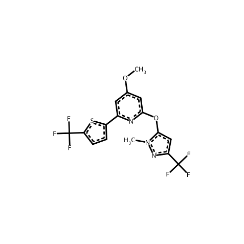 COc1cc(Oc2cc(C(F)(F)F)nn2C)nc(-c2ccc(C(F)(F)F)s2)c1